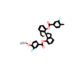 CCCCCCCCOc1ccc(C(=O)Oc2cccc3c2[C@]2(CCc4cccc(OC(=O)c5ccc(C)c(F)c5)c42)CC3)cc1F